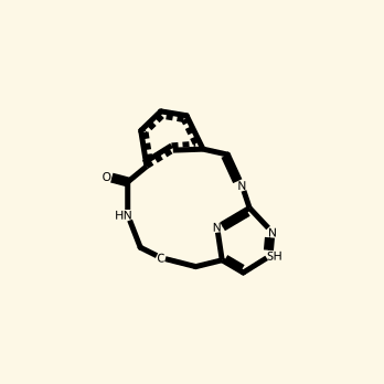 O=C1NCCCC2=C[SH]=NC(=N2)N=Cc2cccc1c2